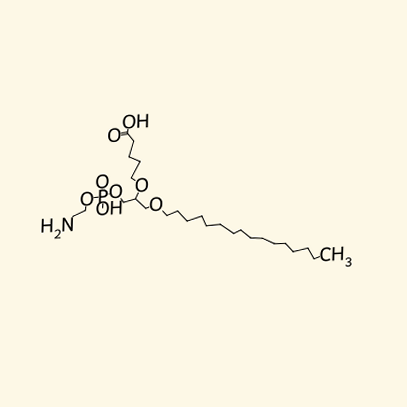 CCCCCCCCCCCCCCCCOCC(COP(=O)(O)OCCN)OCCCCC(=O)O